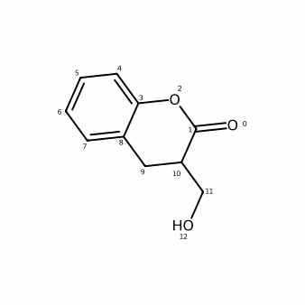 O=C1Oc2ccccc2CC1CO